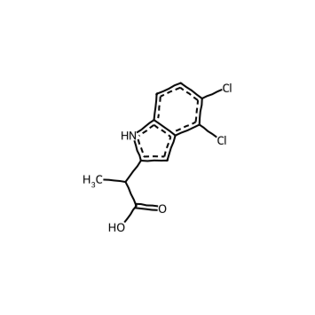 CC(C(=O)O)c1cc2c(Cl)c(Cl)ccc2[nH]1